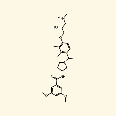 COc1cc(OC)cc(C(=O)N[C@@H]2CCN(C(C)c3ccc(OC[C@H](O)CN(C)C)c(C)c3C)C2)c1